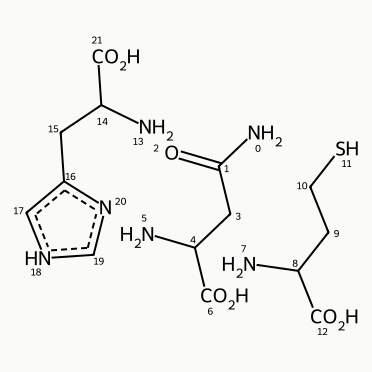 NC(=O)CC(N)C(=O)O.NC(CCS)C(=O)O.NC(Cc1c[nH]cn1)C(=O)O